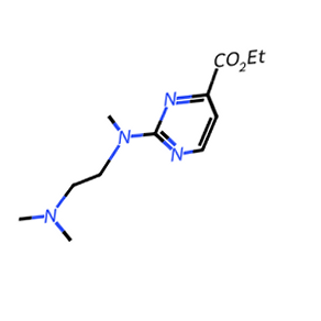 CCOC(=O)c1ccnc(N(C)CCN(C)C)n1